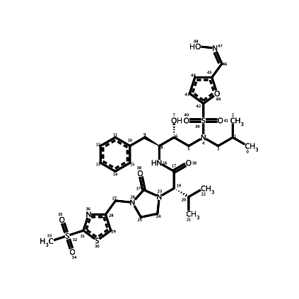 CC(C)CN(C[C@@H](O)[C@H](Cc1ccccc1)NC(=O)[C@H](C(C)C)N1CCN(Cc2csc(S(C)(=O)=O)n2)C1=O)S(=O)(=O)c1ccc(/C=N\O)o1